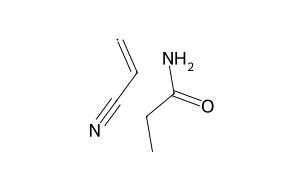 CCC(N)=O.[CH]=CC#N